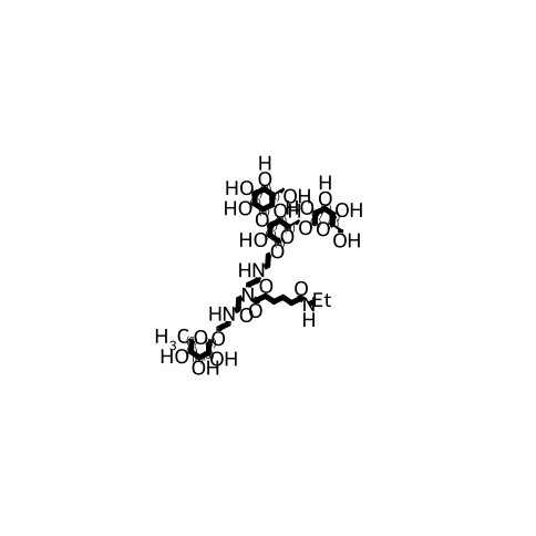 CCNC(=O)CCCCC(=O)N(CC(=O)NCCO[C@@H]1O[C@@H](C)[C@@H](O)[C@@H](O)[C@@H]1O)CC(=O)NCCO[C@H]1O[C@H](CO[C@H]2O[C@H](CO)[C@@H](O)[C@H](O)[C@@H]2O)[C@@H](O)[C@H](O[C@H]2C[C@H](CO)[C@@H](O)[C@H](O)[C@@H]2O)[C@@H]1O